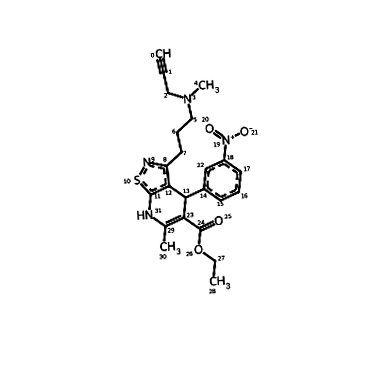 C#CCN(C)CCCc1nsc2c1C(c1cccc([N+](=O)[O-])c1)C(C(=O)OCC)=C(C)N2